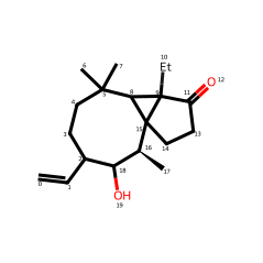 C=CC1CCC(C)(C)C2C3(CC)C(=O)CCC23[C@@H](C)C1O